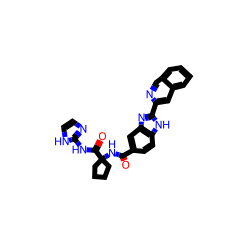 O=C(NC1(C(=O)Nc2ncc[nH]2)CCCC1)c1ccc2[nH]c(-c3cc4ccccc4cn3)nc2c1